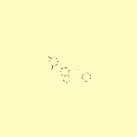 O=c1[nH]cc(-c2cc([C@H]3C[C@@H]3c3ccncc3F)c3nccn3n2)c(=O)[nH]1